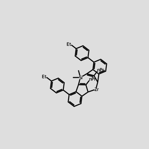 CCCC1=C2c3c(-c4ccc(CC)cc4)cccc3[CH]1[Zr][CH]1C(CCC)=C(c3c(-c4ccc(CC)cc4)cccc31)[Si]2(C)C